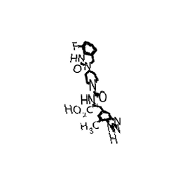 Cc1cc(C[C@@H](NC(=O)N2CCC(N3Cc4cccc(F)c4NC3=O)CC2)C(=O)O)cc2nn[nH]c12